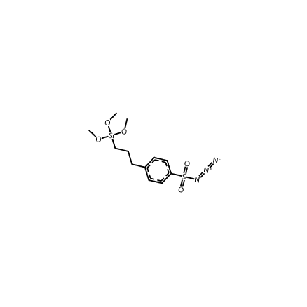 CO[Si](CCCc1ccc(S(=O)(=O)N=[N+]=[N-])cc1)(OC)OC